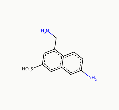 NCc1cc(S(=O)(=O)O)cc2cc(N)ccc12